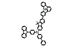 CC1(C)c2cc(-c3ccc4c(c3)c3cccc5c6ccccc6n4c53)ccc2-c2ccc(N(c3ccc(-c4ccccc4)cc3)c3ccc(C4c5ccccc5-c5ccccc54)cc3)cc21